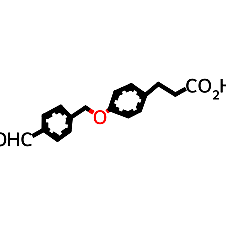 O=Cc1ccc(COc2ccc(CCC(=O)O)cc2)cc1